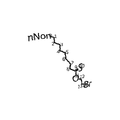 CCCCCCCCCCCCCCCCCC(=S)OCCBr